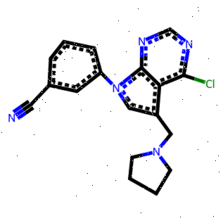 N#Cc1cccc(-n2cc(CN3CCCC3)c3c(Cl)ncnc32)c1